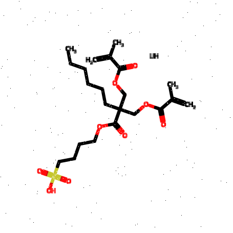 C=C(C)C(=O)OCC(CCCCCC)(COC(=O)C(=C)C)C(=O)OCCCCS(=O)(=O)O.[LiH]